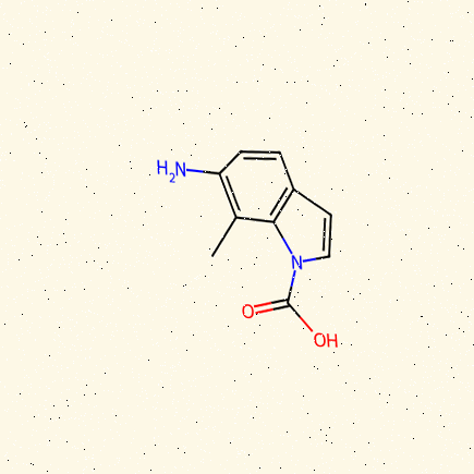 Cc1c(N)ccc2ccn(C(=O)O)c12